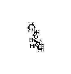 O=C(OCC(=O)N1CCCCC1)C1=CC2OC=CC2N1